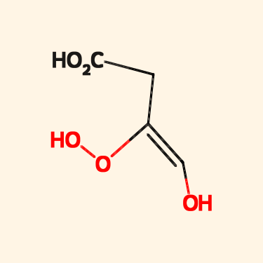 O=C(O)C/C(=C/O)OO